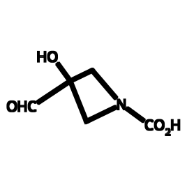 O=CC1(O)CN(C(=O)O)C1